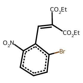 CCOC(=O)C(=Cc1c(Br)cccc1[N+](=O)[O-])C(=O)OCC